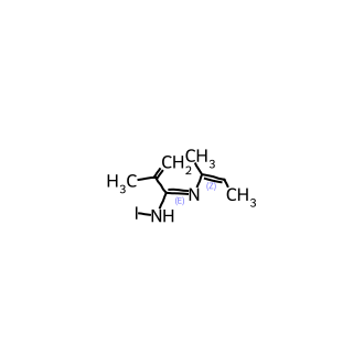 C=C(C)/C(=N\C(C)=C/C)NI